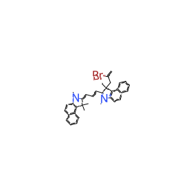 C=C(Br)CC1(C)C(/C=C/C=C2/N(C)c3ccc4ccccc4c3C2(C)C)=[N+](C)c2ccc3ccccc3c21